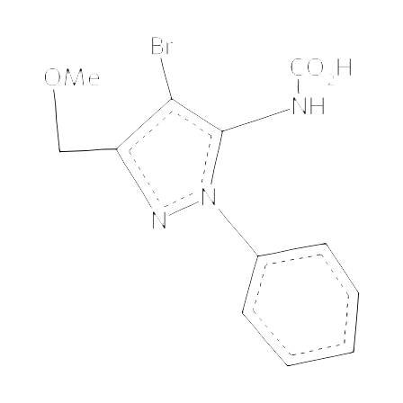 COCc1nn(-c2ccccc2)c(NC(=O)O)c1Br